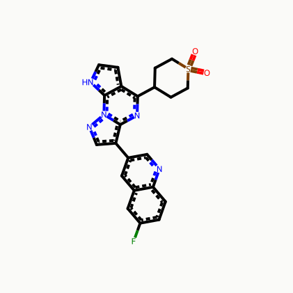 O=S1(=O)CCC(c2nc3c(-c4cnc5ccc(F)cc5c4)cnn3c3[nH]ccc23)CC1